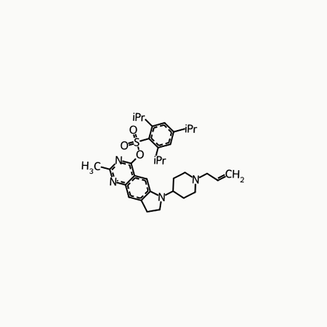 C=CCN1CCC(N2CCc3cc4nc(C)nc(OS(=O)(=O)c5c(C(C)C)cc(C(C)C)cc5C(C)C)c4cc32)CC1